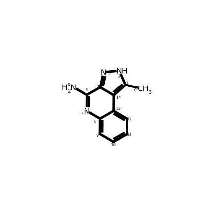 Cc1[nH]nc2c(N)nc3ccccc3c12